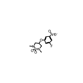 CN1CC(Oc2cc(F)cc([N+](=O)[O-])c2)CN(C)S1(=O)=O